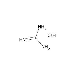 N=C(N)N.[CsH]